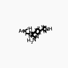 CC(=O)N(C)Cc1nc2c(N)nc3cc(-c4cc[nH]n4)ccc3c2[nH]1